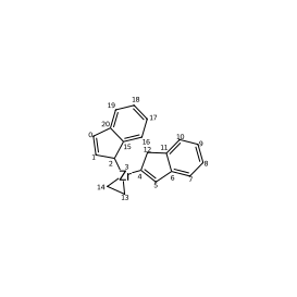 C1=C[CH]([Zr]2([C]3=Cc4ccccc4C3)[CH2][CH2]2)c2ccccc21